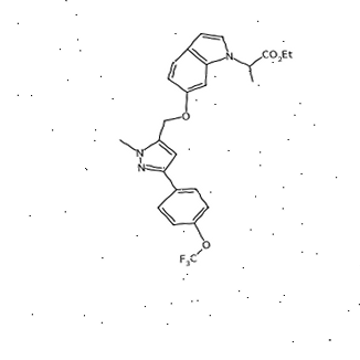 CCOC(=O)C(C)n1ccc2ccc(OCc3cc(-c4ccc(OC(F)(F)F)cc4)nn3C)cc21